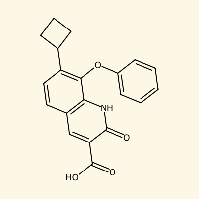 O=C(O)c1cc2ccc(C3CCC3)c(Oc3ccccc3)c2[nH]c1=O